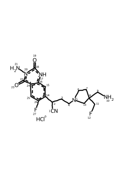 Cl.N#CC(CCN1CCC(CN)(CF)C1)c1cc2[nH]c(=O)n(N)c(=O)c2cc1F